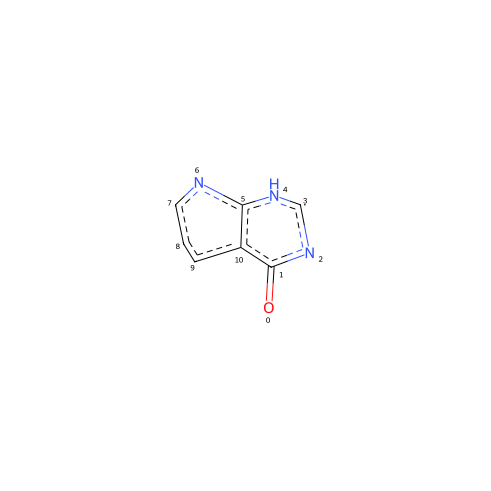 O=c1n[c][nH]c2ncccc12